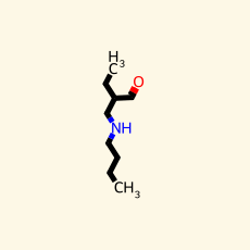 CCCCNCC(C=O)CC